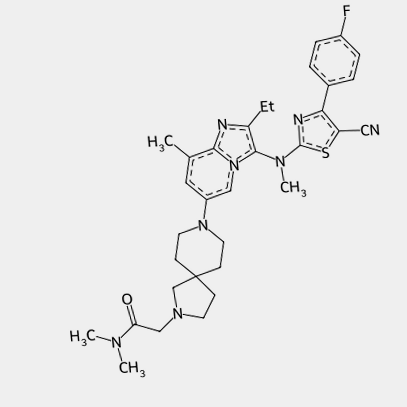 CCc1nc2c(C)cc(N3CCC4(CCN(CC(=O)N(C)C)C4)CC3)cn2c1N(C)c1nc(-c2ccc(F)cc2)c(C#N)s1